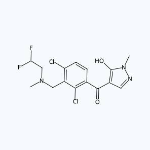 CN(Cc1c(Cl)ccc(C(=O)c2cnn(C)c2O)c1Cl)CC(F)F